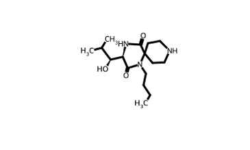 CCCCN1C(=O)[C@@H]([C@@H](O)C(C)C)NC(=O)C12CCNCC2